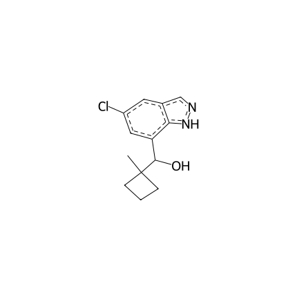 CC1(C(O)c2cc(Cl)cc3cn[nH]c23)CCC1